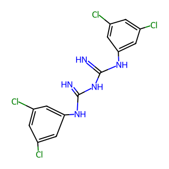 N=C(NC(=N)Nc1cc(Cl)cc(Cl)c1)Nc1cc(Cl)cc(Cl)c1